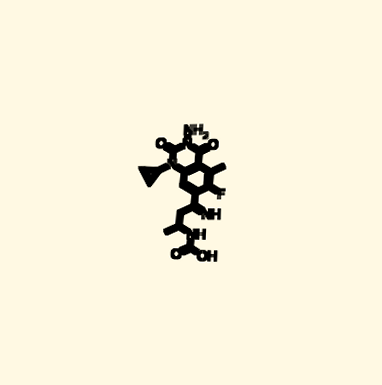 Cc1c(F)c(C(=N)CC(C)NC(=O)O)cc2c1c(=O)n(N)c(=O)n2C1CC1